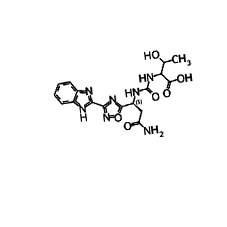 CC(O)C(NC(=O)N[C@@H](CC(N)=O)c1nc(-c2nc3ccccc3[nH]2)no1)C(=O)O